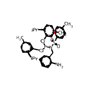 Cc1ccc(S(=O)(=O)N(Cc2ccccc2N)P(Oc2cc(C)ccc2C(C)C)Oc2cc(C)ccc2C(C)C)cc1